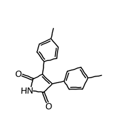 Cc1ccc(C2=C(c3ccc(C)cc3)C(=O)NC2=O)cc1